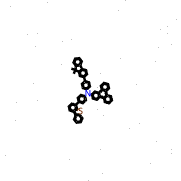 CC1(C)c2ccccc2-c2ccc(-c3ccc(N(c4ccc(-c5cccc6c5sc5ccccc56)cc4)c4ccc5c6ccccc6c6ccccc6c5c4)cc3)cc21